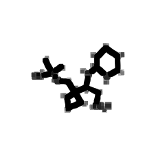 CC(C)(C)[Si](C)(C)OCC1([C@H](CC(=O)O)OC2CCCCO2)CCC1